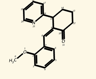 COc1ccccc1/C=C1\C(=O)CCCC1c1ccccn1